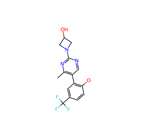 Cc1nc(N2CC(O)C2)ncc1-c1cc(C(F)(F)F)ccc1[O]